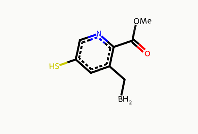 BCc1cc(S)cnc1C(=O)OC